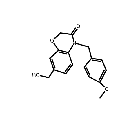 COc1ccc(CN2C(=O)COc3cc(CO)ccc32)cc1